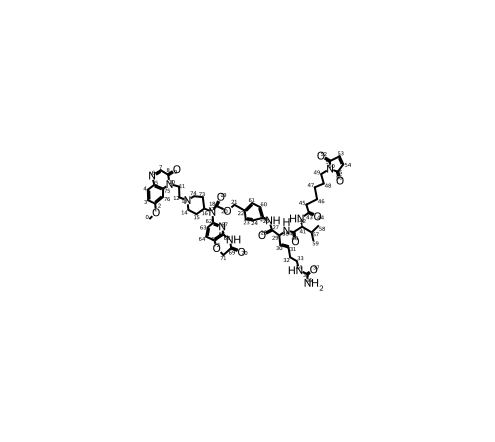 COc1ccc2ncc(=O)n(CCN3CCC(N(C(=O)OCc4ccc(NC(=O)C(/C=C/CCNC(N)=O)NC(=O)[C@@H](NC(=O)CCCCCN5C(=O)C=CC5=O)C(C)C)cc4)c4ccc5c(n4)NC(=O)CO5)CC3)c2c1